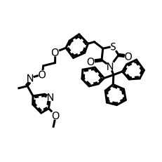 COc1ccc(/C(C)=N\OCCOc2ccc(CC3SC(=O)N(C(c4ccccc4)(c4ccccc4)c4ccccc4)C3=O)cc2)cn1